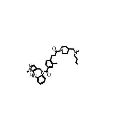 CCCCN(C)CC1CCN(C(=O)CCc2ccc(C(=O)N3Cc4cnn(C)c4Nc4ccccc43)cc2C)CC1